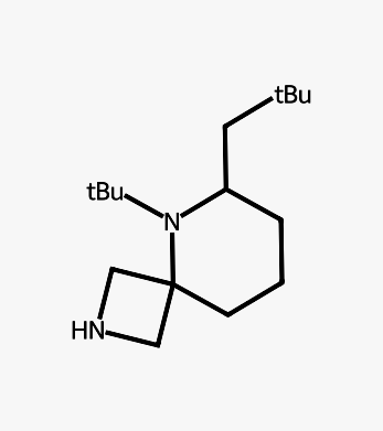 CC(C)(C)CC1CCCC2(CNC2)N1C(C)(C)C